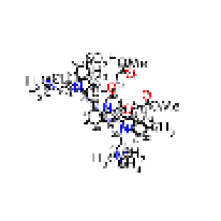 COC(=O)CCOCCN(CCOCCC(=O)OC)C1=C(/C=C/C2=[N+](CCC[N+](C)(C)C)c3ccc(C)cc3C2(C)C)CCC/C1=C\C=C1\N(CCC[N+](C)(C)C)c2ccc(S(=O)(=O)O)cc2C1(C)C